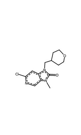 Cn1c(=O)n(CC2CCOCC2)c2cc(Cl)ncc21